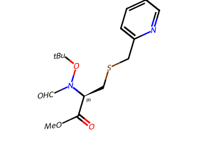 COC(=O)[C@H](CSCc1ccccn1)N(C=O)OC(C)(C)C